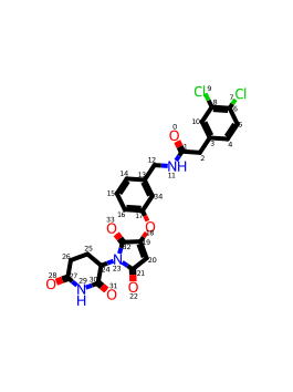 O=C(Cc1ccc(Cl)c(Cl)c1)NCc1cccc(OC2=CC(=O)N(C3CCC(=O)NC3=O)C2=O)c1